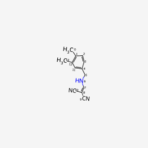 Cc1ccc(CNC=C(C#N)C#N)cc1C